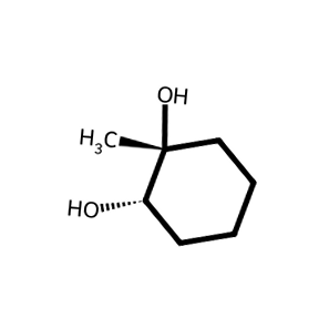 C[C@@]1(O)CCCC[C@@H]1O